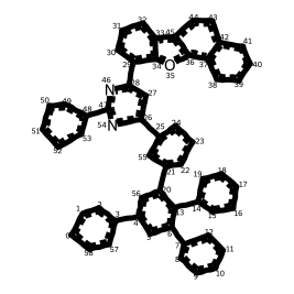 c1ccc(-c2cc(-c3ccccc3)c(-c3ccccc3)c(-c3cccc(-c4cc(-c5cccc6c5oc5c7ccccc7ccc65)nc(-c5ccccc5)n4)c3)c2)cc1